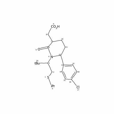 CC(C)SCC(N1C(=O)C(CC(=O)O)CCC1c1ccc(Cl)cc1)C(C)(C)C